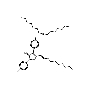 CCCCCCCCC=CC1=C(c2ccc(C)cc2)[N+](=[N-])C(c2ccc(C)cc2)=C1.CCCCCC[CH2][Ni][CH2]CCCCCC